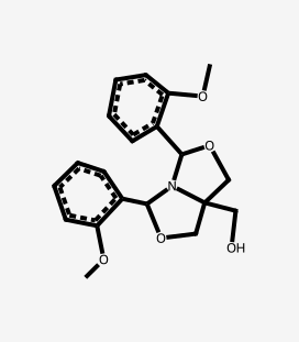 COc1ccccc1C1OCC2(CO)COC(c3ccccc3OC)N12